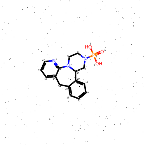 O=P(O)(O)N1CCN2c3ncccc3Cc3ccccc3C2C1